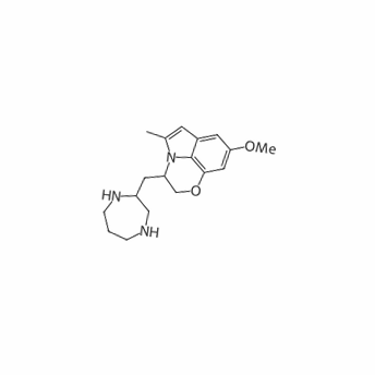 COc1cc2c3c(c1)cc(C)n3C(CC1CNCCCN1)CO2